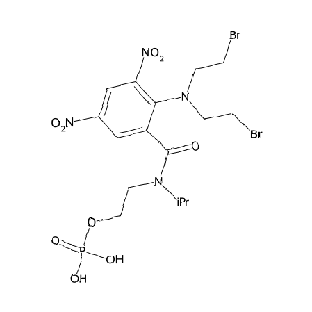 CC(C)N(CCOP(=O)(O)O)C(=O)c1cc([N+](=O)[O-])cc([N+](=O)[O-])c1N(CCBr)CCBr